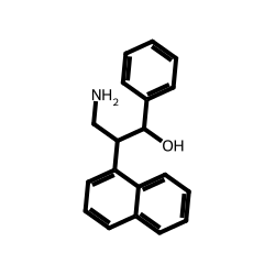 NCC(c1cccc2ccccc12)C(O)c1ccccc1